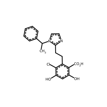 CC(c1ccccc1)n1ccnc1CCc1c(Cl)c(O)cc(O)c1C(=O)O